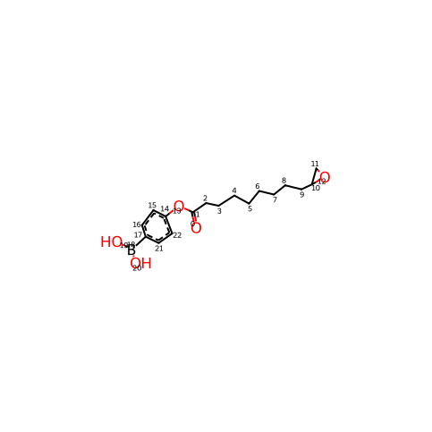 O=C(CCCCCCCCC1CO1)Oc1ccc(B(O)O)cc1